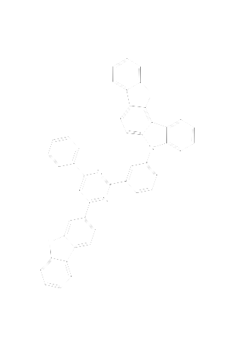 c1ccc(-c2cc(-c3ccc4c(c3)sc3ccccc34)nc(-c3cccc(-n4c5ccccc5c5c6sc7ccccc7c6ccc54)c3)n2)cc1